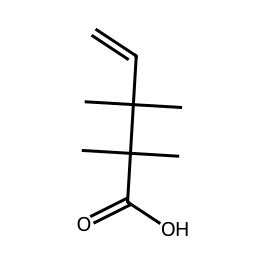 C=CC(C)(C)C(C)(C)C(=O)O